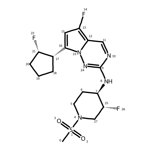 CS(=O)(=O)N1CC[C@@H](Nc2ncc3c(F)cc([C@@H]4CCC[C@@H]4F)n3n2)[C@H](F)C1